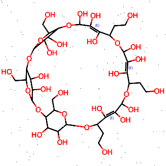 OCCC1OC(O)/C(O)=C(\O)C(CCO)OC2OC(CO)C(OC3OC(CO)C(OC4OC(CO)C(OC(O)/C(O)=C(\O)C(CCO)OC(O)/C(O)=C/1O)C(O)C4O)C(O)C3O)C(O)C2O